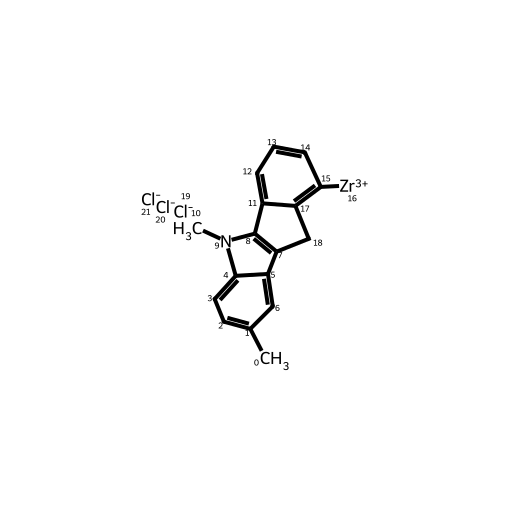 Cc1ccc2c(c1)c1c(n2C)-c2ccc[c]([Zr+3])c2C1.[Cl-].[Cl-].[Cl-]